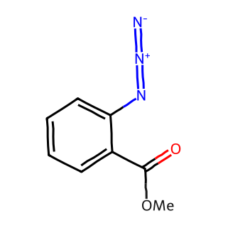 COC(=O)c1ccccc1N=[N+]=[N-]